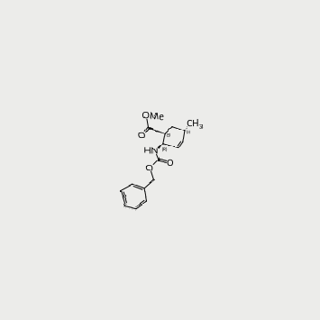 COC(=O)[C@H]1C[C@H](C)C=C[C@H]1NC(=O)OCc1ccccc1